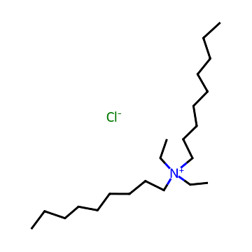 CCCCCCCCC[N+](CC)(CC)CCCCCCCCC.[Cl-]